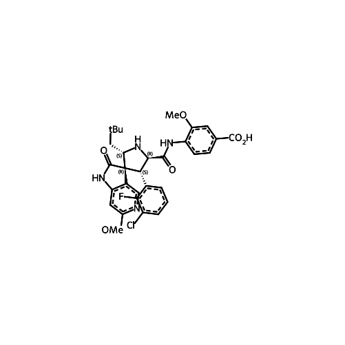 COc1cc2c(cn1)[C@@]1(C(=O)N2)[C@H](CC(C)(C)C)N[C@@H](C(=O)Nc2ccc(C(=O)O)cc2OC)[C@@H]1c1cccc(Cl)c1F